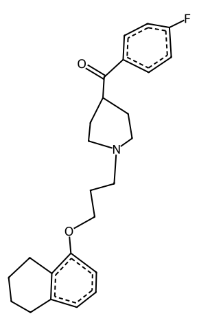 O=C(c1ccc(F)cc1)C1CCN(CCCOc2cccc3c2CCCC3)CC1